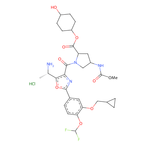 COC(=O)NC1CC(C(=O)OC2CCC(O)CC2)N(C(=O)c2nc(-c3ccc(OC(F)F)c(OCC4CC4)c3)oc2[C@H](C)N)C1.Cl